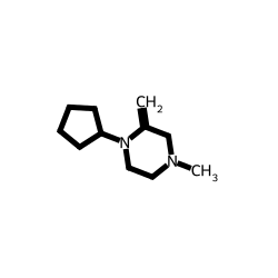 C=C1CN(C)CCN1C1CCCC1